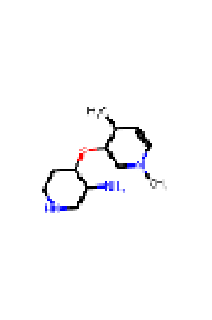 CC1C=CN(C)CC1OC1CCNCC1N